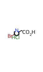 Cl.O=C(O)Cc1ccc(Br)cn1